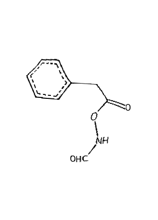 O=CNOC(=O)Cc1ccccc1